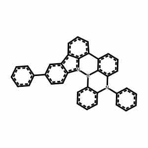 c1ccc(-c2ccc3c(c2)c2cccc4c2n3B2c3ccccc3N(c3ccccc3)c3cccc-4c32)cc1